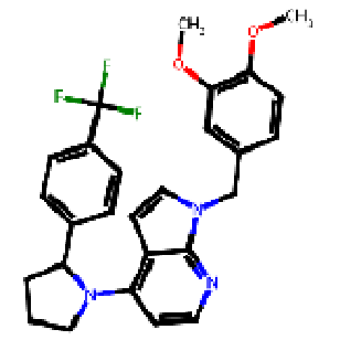 COc1ccc(Cn2ccc3c(N4CCCC4c4ccc(C(F)(F)F)cc4)ccnc32)cc1OC